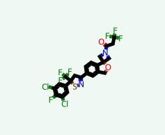 O=C(CC(F)(F)F)N1CC2(C1)OCc1cc(C3=NSC(c4cc(Cl)c(F)c(Cl)c4)(C(F)(F)F)C3)ccc12